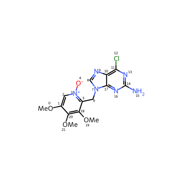 COc1c[n+]([O-])c(Cn2cnc3c(Cl)nc(N)nc32)c(OC)c1OC